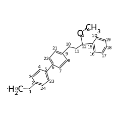 [CH2]Cc1ccc(-c2ccc(CCC(OC)c3ccccc3)cc2)cc1